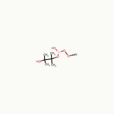 CC(C)OOB(O)OC(C)(C)C(C)(C)O